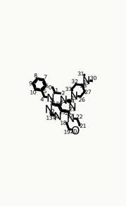 CC(C)N(Cc1ccccc1)c1ncnc2c(N3CCOCC3)nc(N3CCC(N(C)C)CC3)nc12